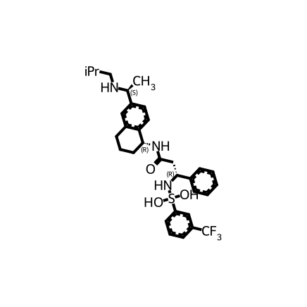 CC(C)CN[C@@H](C)c1ccc2c(c1)CCC[C@H]2NC(=O)C[C@@H](NS(O)(O)c1cccc(C(F)(F)F)c1)c1ccccc1